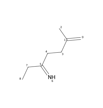 C=C(C)CCC(=N)CC